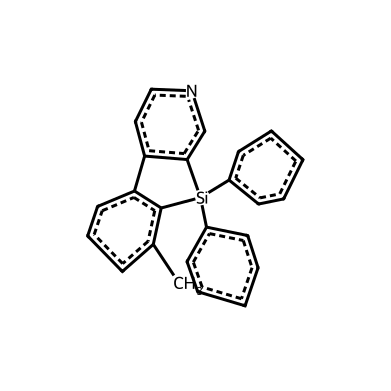 Cc1cccc2c1[Si](c1ccccc1)(c1ccccc1)c1cnccc1-2